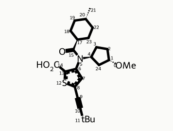 CO[C@H]1CC[C@H](N(c2cc(C#CC(C)(C)C)sc2C(=O)O)C(=O)[C@H]2CC[C@H](C)CC2)C1